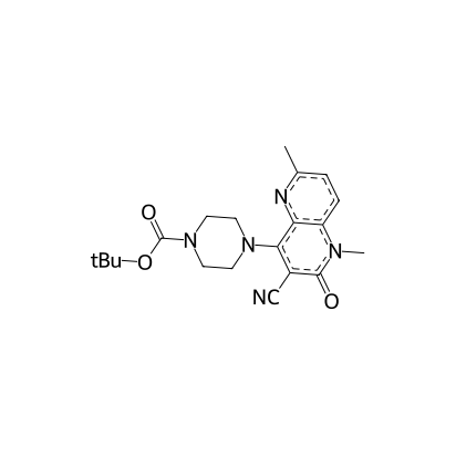 Cc1ccc2c(n1)c(N1CCN(C(=O)OC(C)(C)C)CC1)c(C#N)c(=O)n2C